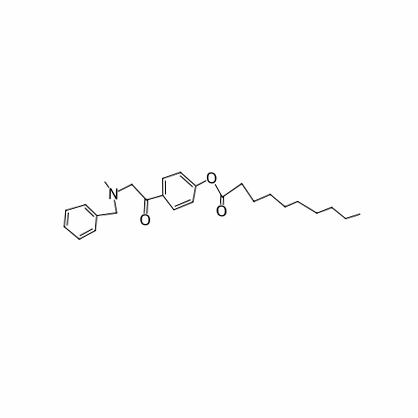 CCCCCCCCCC(=O)Oc1ccc(C(=O)CN(C)Cc2ccccc2)cc1